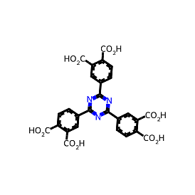 O=C(O)c1ccc(-c2nc(-c3ccc(C(=O)O)c(C(=O)O)c3)nc(-c3ccc(C(=O)O)c(C(=O)O)c3)n2)cc1C(=O)O